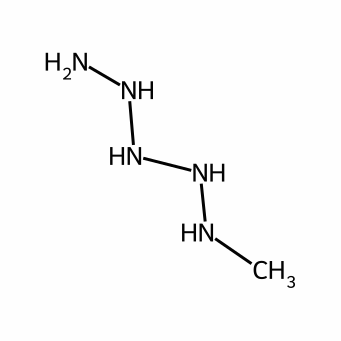 CNNNNN